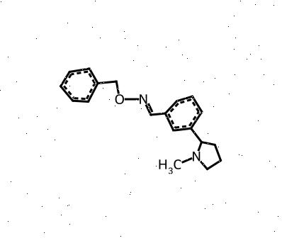 CN1CCCC1c1cccc(C=NOCc2ccccc2)c1